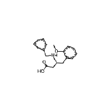 COc1ccccc1CC(CC(=O)O)NCc1ccccc1